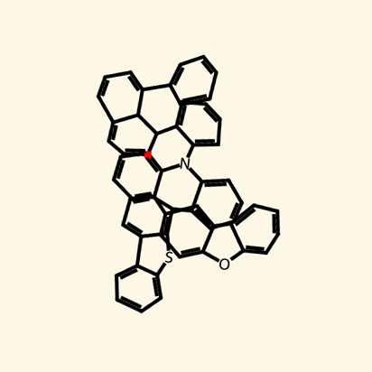 C1=CC2=CC=CC(c3ccccc3N(c3ccccc3-c3ccc4oc5ccccc5c4c3)c3ccccc3C3C=CC=C4c5ccccc5SC43)C2C(c2ccccc2)=C1